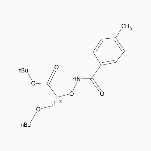 CCCCOC[C@@H](ONC(=O)c1ccc(C)cc1)C(=O)OC(C)(C)C